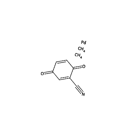 C.C.N#CC1=CC(=O)C=CC1=O.[Pd]